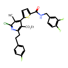 CCOC(=O)c1c(CCc2ccc(F)cc2)nc(Cl)c(C#N)c1-c1ccc(C(=O)NCc2ccc(F)c(F)c2)s1